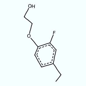 CCc1ccc(OCCO)c(F)c1